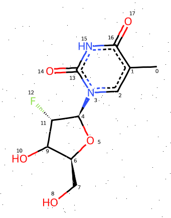 Cc1cn([C@H]2O[C@@H](CO)C(O)[C@@H]2F)c(=O)[nH]c1=O